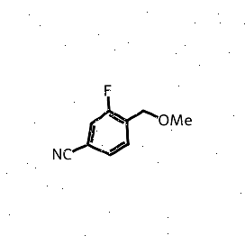 COCc1ccc(C#N)cc1F